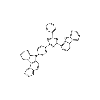 c1ccc(-c2nc(-c3ccc(-n4c5ccccc5c5c6ccccc6ccc54)cc3)nc(-c3cccc4c3oc3ccccc34)n2)cc1